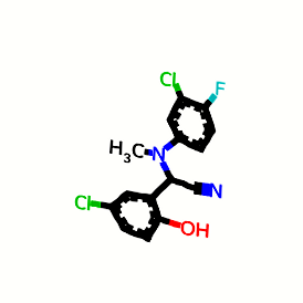 CN(c1ccc(F)c(Cl)c1)C(C#N)c1cc(Cl)ccc1O